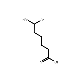 CCCC(Br)CCCCC(O)=S